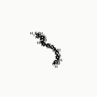 CCN(C)S(=O)(=O)Nc1ccc(F)c(C(=O)c2c[nH]c3ncc(-c4cnc(N5CCC(CC(=O)NC6CCN(c7ccc(NC8CCC(=O)NC8=O)cc7F)CC6)CC5)nc4)cc23)c1F